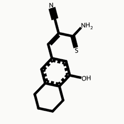 N#CC(=Cc1cc(O)c2c(c1)CCCC2)C(N)=S